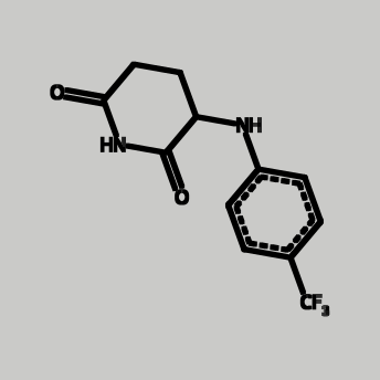 O=C1CCC(Nc2ccc(C(F)(F)F)cc2)C(=O)N1